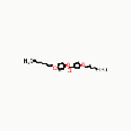 C=CCCCCCCOc1ccc(OC(=O)c2ccc(OCCCCC[C@@H](C)CC)cc2)cc1